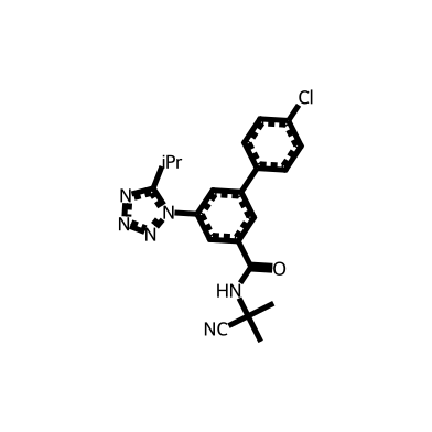 CC(C)c1nnnn1-c1cc(C(=O)NC(C)(C)C#N)cc(-c2ccc(Cl)cc2)c1